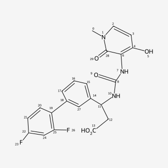 Cn1ccc(O)c(NC(=O)NC(CC(=O)O)c2cccc(-c3ccc(F)cc3F)c2)c1=O